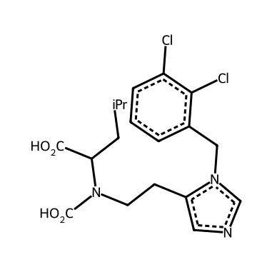 CC(C)CC(C(=O)O)N(CCc1cncn1Cc1cccc(Cl)c1Cl)C(=O)O